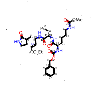 CCOC(=O)/C=C/[C@H](CC1CCNC1=O)NC(=O)[C@H](CC(C)C)NC(=O)[C@@H](CCCCNC(=O)OC)NC(=O)OCc1ccccc1